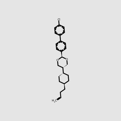 C=CCC[C@H]1CC[C@H]([C@H]2CO[C@H](c3ccc(-c4ccc(Cl)cc4)cc3)OC2)CC1